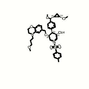 COCCCN1CCOc2ccc(CO[C@H]3CN(S(=O)(=O)c4ccc(C)cc4)C[C@@H](O)[C@@H]3c3ccc(C(OC)[C@H]4C[C@@H]4OC)cc3)cc21